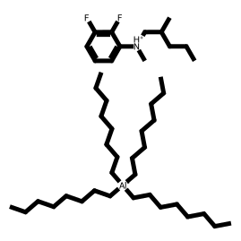 CCCC(C)C[NH+](C)c1cccc(F)c1F.CCCCCCC[CH2][Al-]([CH2]CCCCCCC)([CH2]CCCCCCC)[CH2]CCCCCCC